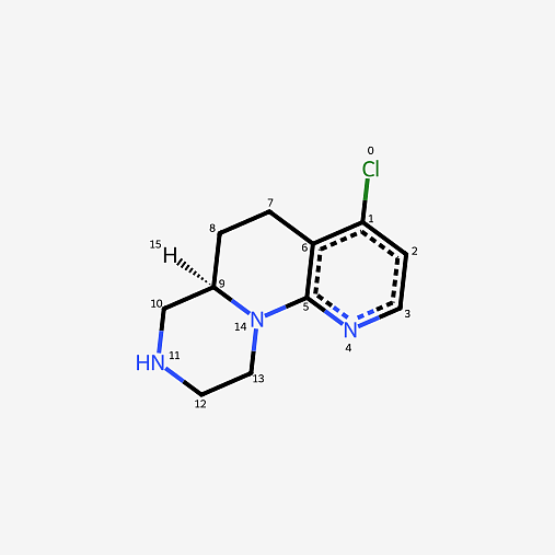 Clc1ccnc2c1CC[C@@H]1CNCCN21